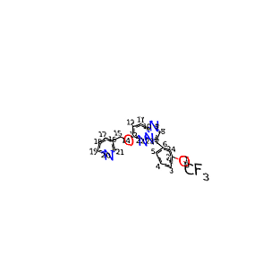 FC(F)(F)Oc1cccc(-c2cnc3ccc(OCc4cccnc4)nn23)c1